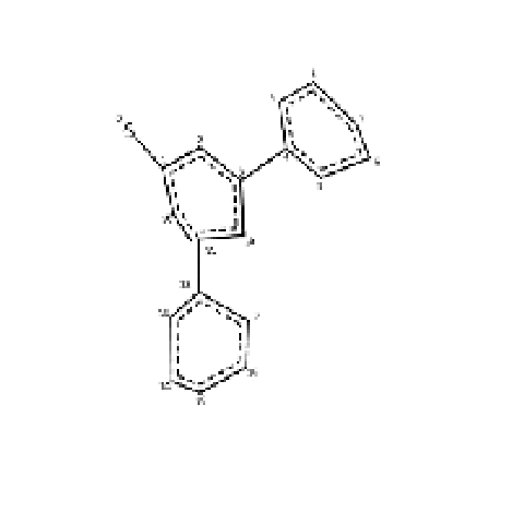 [S]c1cc(-c2ccccc2)cc(-c2ccccc2)c1